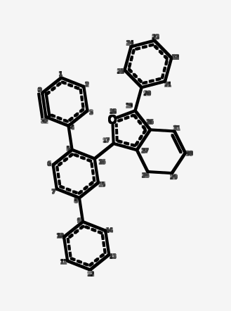 c1cccc(-c2ccc(-c3ccccc3)cc2-c2oc(-c3ccccc3)c3c2CCC=C3)c#1